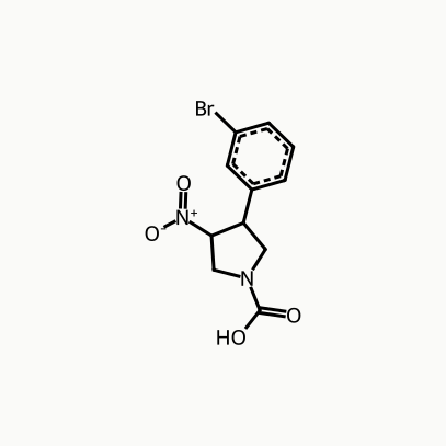 O=C(O)N1CC(c2cccc(Br)c2)C([N+](=O)[O-])C1